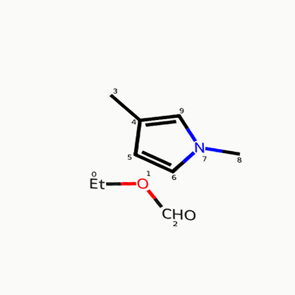 CCOC=O.Cc1ccn(C)c1